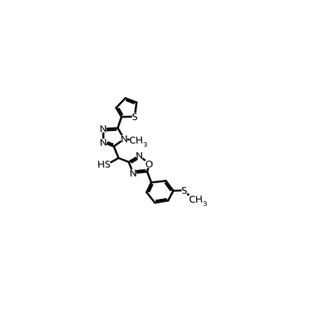 CSc1cccc(-c2nc(C(S)c3nnc(-c4cccs4)n3C)no2)c1